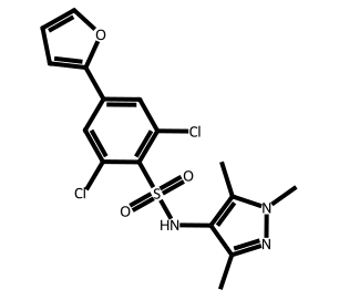 Cc1nn(C)c(C)c1NS(=O)(=O)c1c(Cl)cc(-c2ccco2)cc1Cl